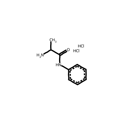 CC(N)C(=O)Nc1ccccc1.Cl.Cl